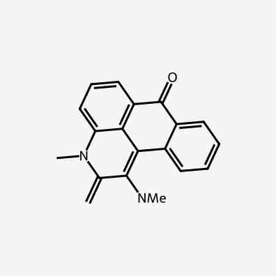 C=c1c(NC)c2c3ccccc3c(=O)c3cccc(c3-2)n1C